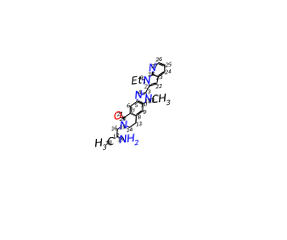 CCn1c(-c2nc3cc4c(cc3n2C)CCN(C[C@@H](C)N)C4=O)cc2cccnc21